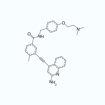 Cc1ccc(C(=O)NCc2ccc(OCCN(C)C)cc2)cc1C#Cc1cc(N)nc2ccccc12